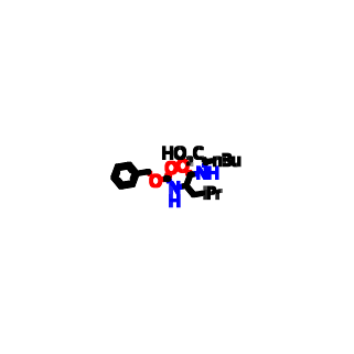 CCCCC(NC(=O)C(CC(C)C)NC(=O)OCc1ccccc1)C(=O)O